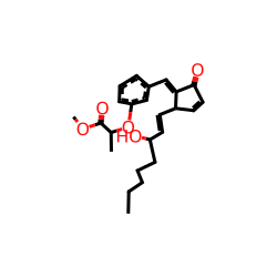 CCCCCC(O)C=CC1C=CC(=O)C1=Cc1cccc(OC(C)C(=O)OC)c1